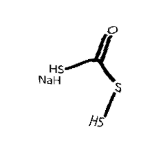 O=C(S)SS.[NaH]